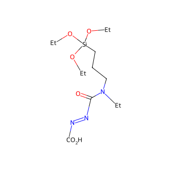 CCO[Si](CCCN(CC)C(=O)N=NC(=O)O)(OCC)OCC